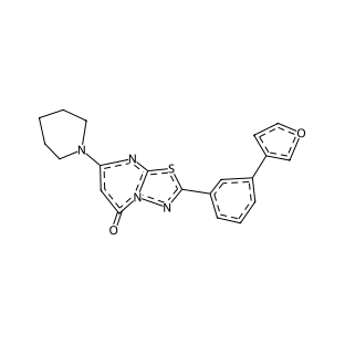 O=c1cc(N2CCCCC2)nc2sc(-c3cccc(-c4ccoc4)c3)nn12